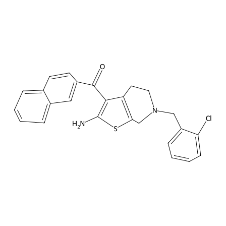 Nc1sc2c(c1C(=O)c1ccc3ccccc3c1)CCN(Cc1ccccc1Cl)C2